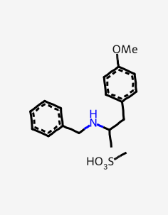 COc1ccc(CC(C)NCc2ccccc2)cc1.CS(=O)(=O)O